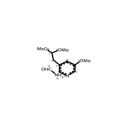 COc1cncc(CC(OC)OC)c1.NC=O